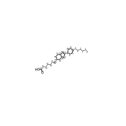 CCCCCC[n+]1ccc(-c2nc3ccc(OCCCCCC(=O)O)cc3o2)cc1